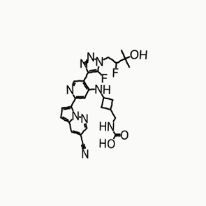 CC(C)(O)C(F)Cn1nnc(-c2cnc(-c3ccc4cc(C#N)cnn34)cc2NC2CC(CNC(=O)O)C2)c1F